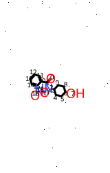 O=C(N[C@H]1CC[C@@H](O)CC1)c1ccccc1[N+](=O)[O-]